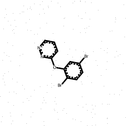 Brc1ccc(Br)c(Oc2cc[c]nn2)c1